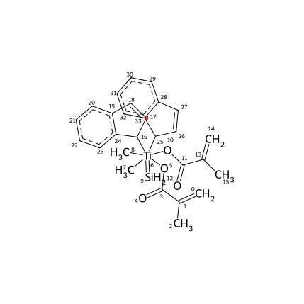 C=C(C)C(=O)[O][Ti]([CH3])([CH3])(=[SiH2])([O]C(=O)C(=C)C)([CH]1C=Cc2ccccc21)[CH]1C=Cc2ccccc21